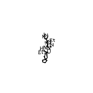 CCC(Nc1ncnc2c1nc(-c1cnc(C)nc1)n2CC)C(=O)N1CC2(CCCC2)C1